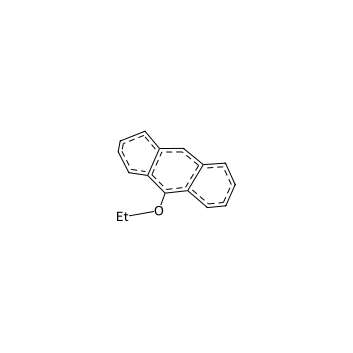 CCOc1c2ccccc2cc2ccccc12